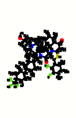 [2H]c1c([2H])c(F)c(F)c(CSc2c([2H])c(=O)c3c([2H])c([2H])c([2H])c([2H])c3n2C([2H])([2H])C(=O)N(C([2H])([2H])c2c([2H])c([2H])c(-c3c([2H])c([2H])c(C(F)(F)F)c(C)c3[2H])c([2H])c2[2H])C2([2H])C([2H])([2H])C([2H])([2H])N(C([2H])([2H])C([2H])([2H])OC)C([2H])([2H])C2([2H])[2H])c1[2H]